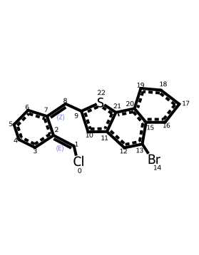 Cl/C=c1\cccc\c1=C\c1cc2cc(Br)c3ccccc3c2s1